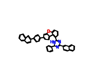 c1ccc(C2N=C(c3ccc4ccccc4c3)N=C(c3cccc4oc5cc(-c6ccc(-c7ccc8ccccc8c7)cc6)ccc5c34)N2)cc1